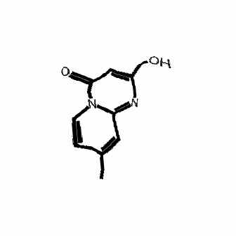 Cc1ccn2c(=O)cc(O)nc2c1